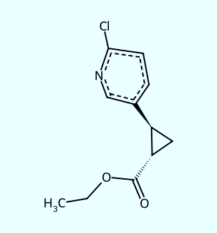 CCOC(=O)[C@H]1C[C@@H]1c1ccc(Cl)nc1